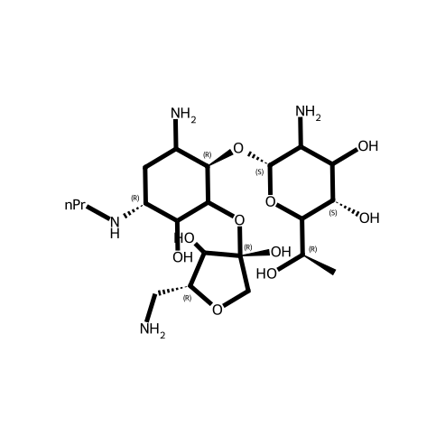 CCCN[C@@H]1CC(N)[C@@H](O[C@H]2OC([C@@H](C)O)[C@@H](O)C(O)C2N)C(O[C@]2(O)CO[C@H](CN)C2O)C1O